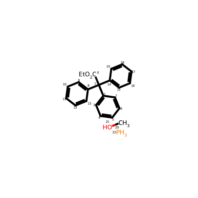 CCOC(=O)C(c1ccccc1)(c1ccccc1)c1ccccc1.CO.P